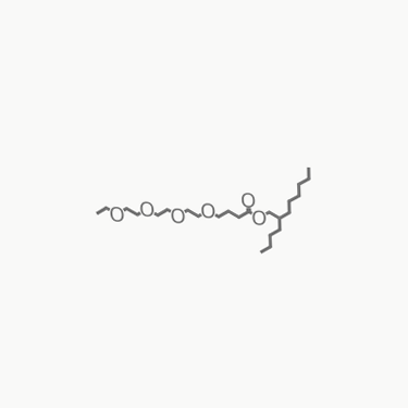 CCCCCCC(CCCC)COC(=O)CCCOCCOCCOCCOCC